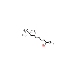 C=C(Br)CCCCCC[Si](C)(C)C